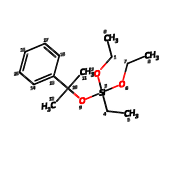 CCO[Si](CC)(OCC)OC(C)(C)c1ccccc1